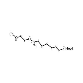 CCCCCCCCCCCCC[SiH2]OCCOCC